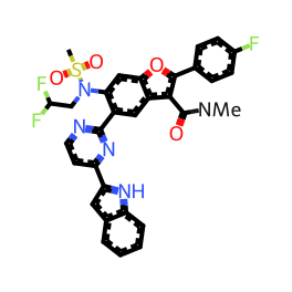 CNC(=O)c1c(-c2ccc(F)cc2)oc2cc(N(CC(F)F)S(C)(=O)=O)c(-c3nccc(-c4cc5ccccc5[nH]4)n3)cc12